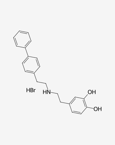 Br.Oc1ccc(CCNCCc2ccc(-c3ccccc3)cc2)cc1O